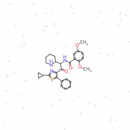 COc1ccc(OC)c(C(=O)NC(C(=O)c2nc(C3CC3)sc2-c2ccccc2)C2CCCCN2)c1